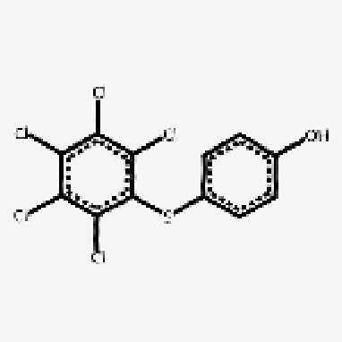 Oc1ccc(Sc2c(Cl)c(Cl)c(Cl)c(Cl)c2Cl)cc1